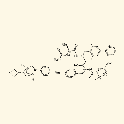 COC(=O)N[C@H](C(=O)NN(Cc1c(F)cc(-c2ncccn2)cc1F)C[C@H](O)[C@H](Cc1ccc(C#Cc2ccc(N3C[C@H]4C[C@@H]3CN4C3COC3)nc2)cc1)NC(=O)[C@@H](NC(=O)OC)C(C)(C)C(F)(F)F)C(C)(C)C